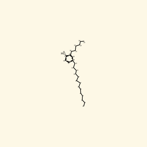 CCCCCCCCCCCCCCc1ccc(O)c(CCCCCC)c1